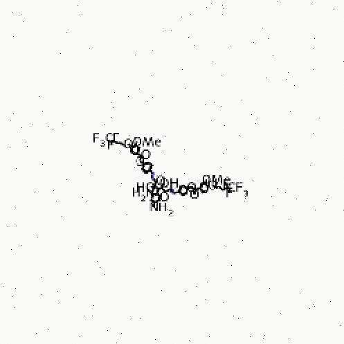 COc1cc(C(=O)Oc2ccc(/C=C/C(=O)C(O)C(c3ccc(N)cc3N)C(O)C(=O)/C=C/c3ccc(OC(=O)c4ccc(OCCCC(F)(F)C(F)(F)F)c(OC)c4)cc3)cc2)ccc1OCCCC(F)(F)C(F)(F)F